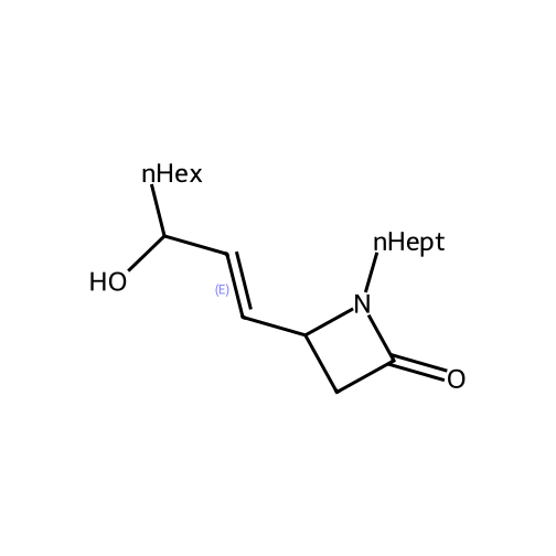 CCCCCCCN1C(=O)CC1/C=C/C(O)CCCCCC